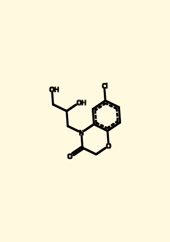 O=C1COc2ccc(Cl)cc2N1CC(O)CO